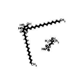 CCCCCCCCCCCCCCCCCC(=O)C(O)(C(=O)CCCCCCCCCCCCCCCCC)[C@@H](O)CO.C[N+](C)(C)CCOP(=O)([O-])O